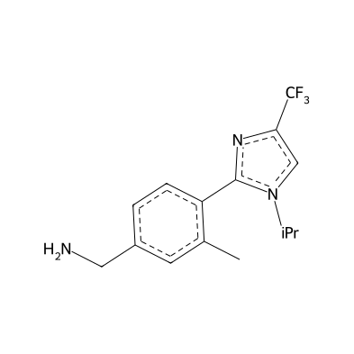 Cc1cc(CN)ccc1-c1nc(C(F)(F)F)cn1C(C)C